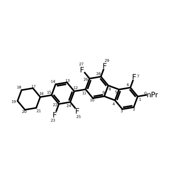 CCCc1ccc2c(c1F)-c1c-2cc(-c2ccc(C3CCCCC3)c(F)c2F)c(F)c1F